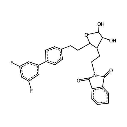 O=C1c2ccccc2C(=O)N1CCC1C(CCc2ccc(-c3cc(F)cc(F)c3)cc2)OC(O)C1O